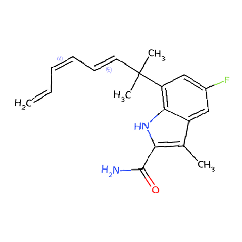 C=C/C=C\C=C\C(C)(C)c1cc(F)cc2c(C)c(C(N)=O)[nH]c12